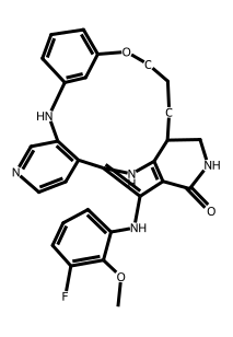 COc1c(F)cccc1Nc1c2[nH]c3c1C(=O)NCC3CCCOc1cccc(c1)Nc1cnccc1-2